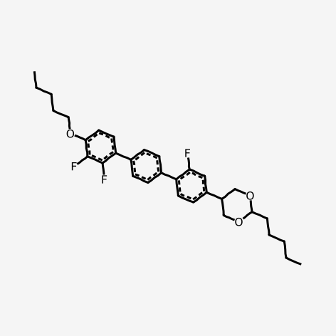 CCCCCOc1ccc(-c2ccc(-c3ccc(C4COC(CCCCC)OC4)cc3F)cc2)c(F)c1F